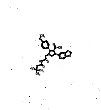 COc1ccc([C@@H]2[C@@H](C(=O)O)C(c3ccc4c(c3)OCO4)CN2CC(=O)NC(=O)OC(C)(C)C)cc1